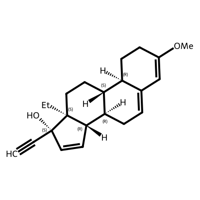 C#C[C@]1(O)C=C[C@H]2[C@@H]3CC=C4C=C(OC)CC[C@@H]4[C@H]3CC[C@@]21CC